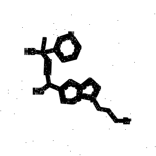 CC(O)(C#CC(O)c1ccc2c(ccn2CCCBr)c1)c1cccnc1